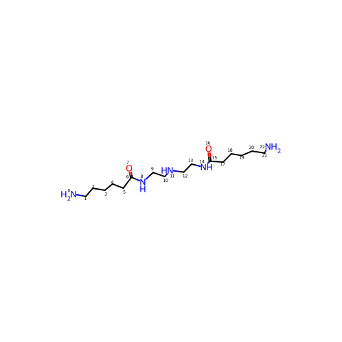 NCCCCCC(=O)NCCNCCNC(=O)CCCCCN